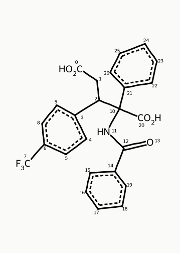 O=C(O)CC(c1ccc(C(F)(F)F)cc1)C(NC(=O)c1ccccc1)(C(=O)O)c1ccccc1